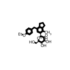 CCOc1ccc(Cc2cc([C@@H]3O[C@H](CO)[C@H](O)[C@H](O)[C@@H]3O)c(C)c3c2CCC3)cc1